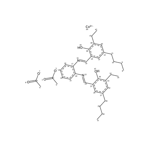 CC(=O)[O-].CC(=O)[O-].CCCCc1cc(C=Nc2ccccc2N=Cc2cc(CCCC)cc(CC)c2O)c(O)c(CC)c1.[Co+2]